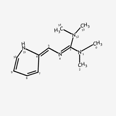 CN(C)C(=NC=C1C=CC=CN1)N(C)C